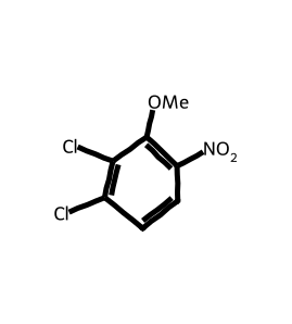 COc1c([N+](=O)[O-])ccc(Cl)c1Cl